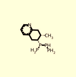 C[C@H]1Cc2ncccc2C[C@H]1P(P)PP